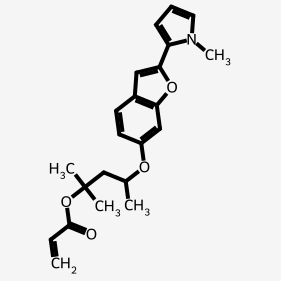 C=CC(=O)OC(C)(C)CC(C)Oc1ccc2cc(-c3cccn3C)oc2c1